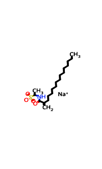 C=C(CCCCCCCCCCCCCC)C(=O)NC(C)S(=O)(=O)[O-].[Na+]